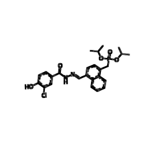 CC(C)OP(=O)(Cc1ccc(/C=N/NC(=O)c2ccc(O)c(Cl)c2)c2ccccc12)OC(C)C